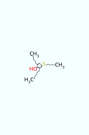 CCCCCCSc1cc(CCCCCC)c(O)c(CCCCCC)c1